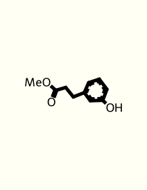 [CH2]OC(=O)CCc1cccc(O)c1